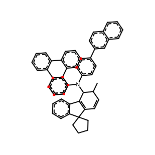 CC1C=CC2=C(c3ccccc3C23CCCC3)C1N(c1ccc(-c2ccc3ccccc3c2)cc1)c1ccccc1-c1ccccc1-c1ccccc1-c1ccccc1